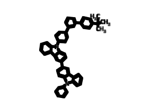 CC(C)(C)c1ccc(-c2cccc(-c3ccc(-n4c5ccccc5c5cc(-c6ccc7c(c6)c6ccccc6n7-c6ccccc6)ccc54)cc3)c2)cc1